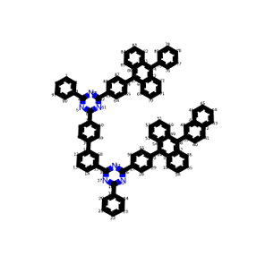 c1ccc(-c2nc(-c3ccc(-c4cccc(-c5nc(-c6ccccc6)nc(-c6ccc(-c7c8ccccc8c(-c8ccc9ccccc9c8)c8ccccc78)cc6)n5)c4)cc3)nc(-c3ccc(-c4c5ccccc5c(-c5ccccc5)c5ccccc45)cc3)n2)cc1